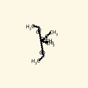 CCCCC/C=C\COC(=O)CCCCCCCCC(CCCCCCCCC(=O)OC/C=C\CCCCC)N(CCCN(C)C)C(=O)CCSSCCCCC